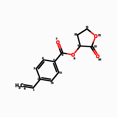 C=Cc1ccc(C(=O)OC2CCOC2=O)cc1